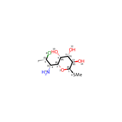 CS[C@H]1O[C@H]([C@H](N)[C@H](C)Cl)[C@H](O)[C@H](O)[C@H]1O